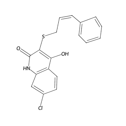 O=c1[nH]c2cc(Cl)ccc2c(O)c1SC/C=C\c1ccccc1